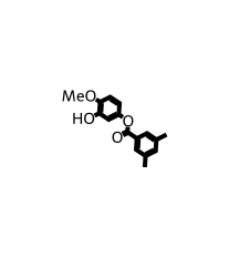 COc1ccc(OC(=O)c2cc(C)cc(C)c2)cc1O